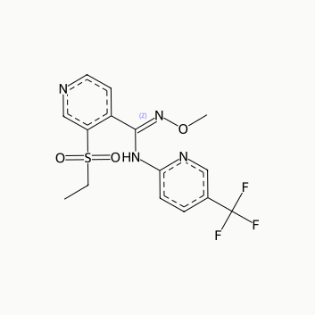 CCS(=O)(=O)c1cnccc1/C(=N/OC)Nc1ccc(C(F)(F)F)cn1